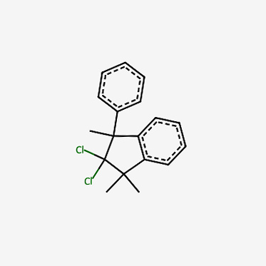 CC1(C)c2ccccc2C(C)(c2ccccc2)C1(Cl)Cl